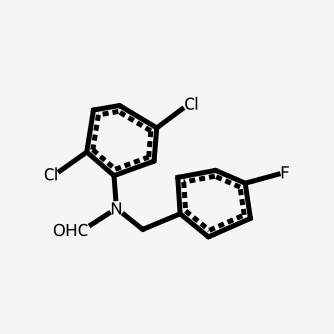 O=CN(Cc1ccc(F)cc1)c1cc(Cl)ccc1Cl